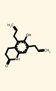 C=CCc1cc2c(c(CC=C)c1O)CCC(=O)N2